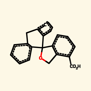 O=C(O)c1cccc2c1COC21c2ccccc2Cc2ccccc21